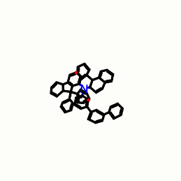 C1=CC2c3cccc(N(c4cccc(-c5cccc(-c6ccccc6)c5)c4)C4C=Cc5ccccc5C4c4ccccc4)c3C(c3ccccc3)(c3ccccc3)C2C=C1